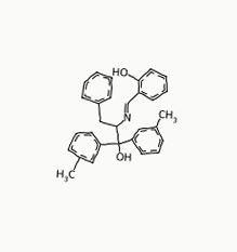 Cc1cccc(C(O)(c2cccc(C)c2)C(Cc2ccccc2)N=Cc2ccccc2O)c1